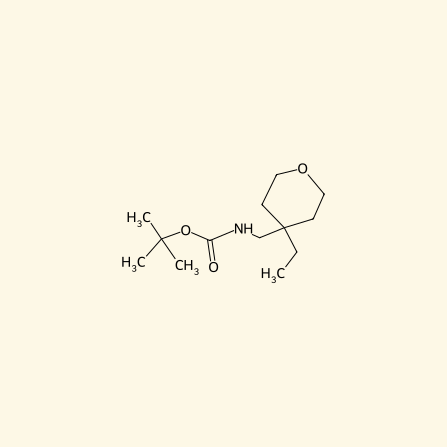 CCC1(CNC(=O)OC(C)(C)C)CCOCC1